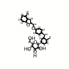 Cc1ccc([C@@H]2O[C@H](CO)[C@@H](O)[C@H](O)[C@H]2O)cc1Cc1ccc(OCC2Cc3c(F)cccc3O2)cc1